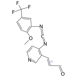 COc1ccc(C(F)(F)F)cc1N=C=Nc1ccncc1/C=C/[C]=O